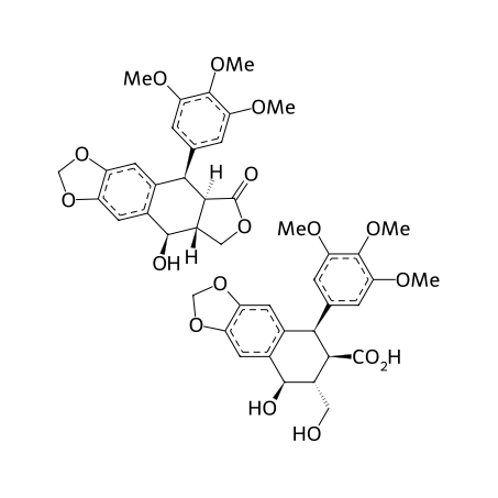 COc1cc([C@@H]2c3cc4c(cc3[C@H](O)[C@@H](CO)[C@@H]2C(=O)O)OCO4)cc(OC)c1OC.COc1cc([C@@H]2c3cc4c(cc3[C@H](O)[C@H]3COC(=O)[C@H]23)OCO4)cc(OC)c1OC